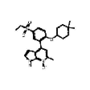 CCS(=O)(=O)c1ccc(OC2CCC(C)(C)CC2)c(-c2cc(C)[n+]([O-])c3[nH]ccc23)c1